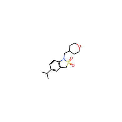 CC(C)c1ccc2c(c1)CS(=O)(=O)N2CC1CCOCC1